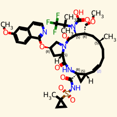 COC[C@@H]1C[C@@H](C)CC/C=C\[C@@H]2C[C@@]2(C(=O)NS(=O)(=O)C2(C)CC2)NC(=O)[C@@H]2C[C@@H](Oc3nccc4cc(OC)ccc34)CN2C(=O)[C@H]1N(C(=O)O)C(C)(C)C(F)(F)F